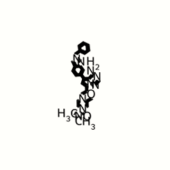 CN(C)C(=O)N1CCN2CC(c3cc(-c4ccc5cn(Cc6ccccc6)nc5c4)c4c(N)ncnn34)OCC2C1